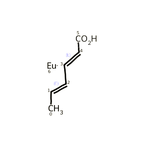 C/C=C/C=C/C(=O)O.[Eu]